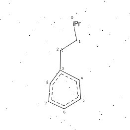 CC(C)C[C]c1ccccc1